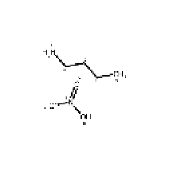 CCCCN.O=[N+]([O-])O